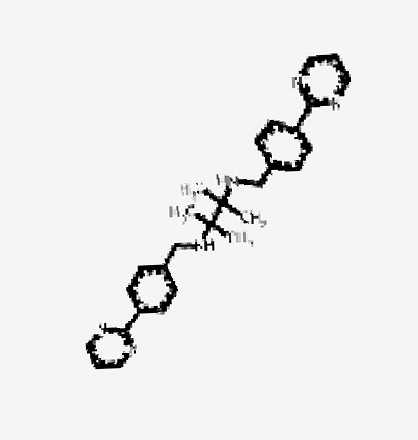 CC(C)(NCc1ccc(-c2ncccn2)cc1)C(C)(C)NCc1ccc(-c2ncccn2)cc1